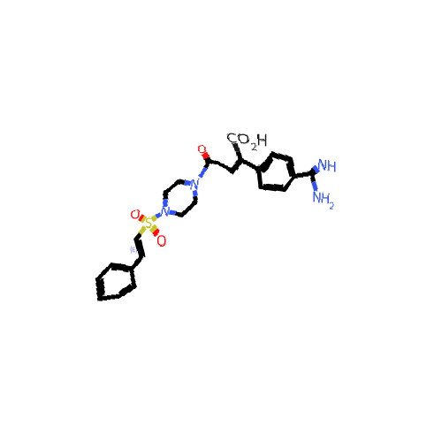 N=C(N)c1ccc(C(CC(=O)N2CCN(S(=O)(=O)/C=C/c3ccccc3)CC2)C(=O)O)cc1